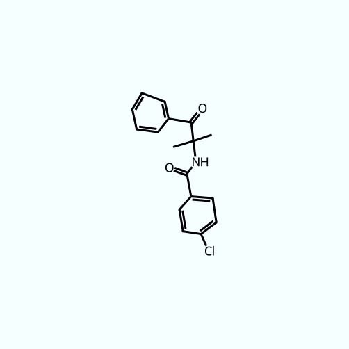 CC(C)(NC(=O)c1ccc(Cl)cc1)C(=O)c1ccccc1